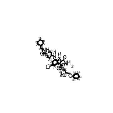 NC(=O)c1[nH]c2c(NC3CCN(C(=O)NCC4CCCCC4)CC3)cc(Cl)cc2c1S(=O)(=O)N1CCOC(COc2ccccc2)C1